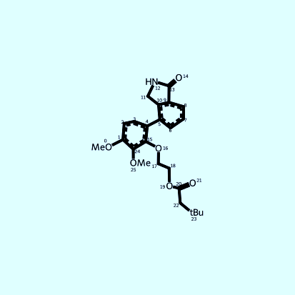 COc1ccc(-c2cccc3c2CNC3=O)c(OCCOC(=O)CC(C)(C)C)c1OC